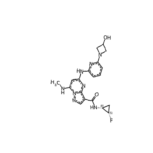 CNc1cc(Nc2cccc(N3CC(O)C3)n2)nc2c(C(=O)N[C@@H]3C[C@@H]3F)cnn12